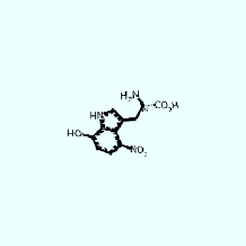 N[C@@H](Cc1c[nH]c2c(O)ccc([N+](=O)[O-])c12)C(=O)O